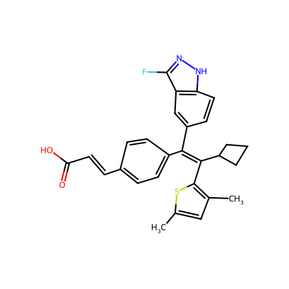 Cc1cc(C)c(/C(=C(\c2ccc(/C=C/C(=O)O)cc2)c2ccc3[nH]nc(F)c3c2)C2CCC2)s1